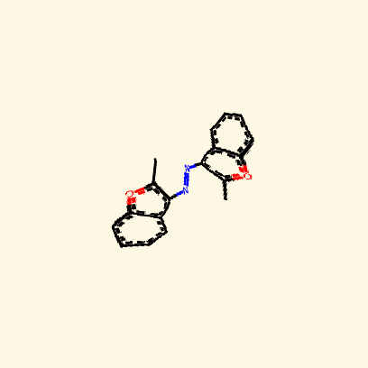 Cc1oc2ccccc2c1N=Nc1c(C)oc2ccccc12